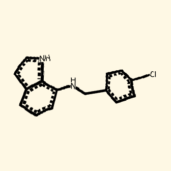 Clc1ccc(CNc2cccc3cc[nH]c23)cc1